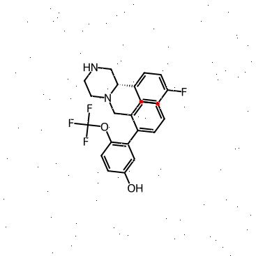 Oc1ccc(OC(F)(F)F)c(-c2ccccc2CN2CCNC[C@@H]2c2ccc(F)cc2)c1